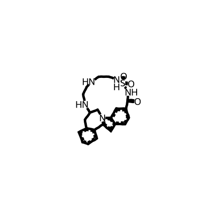 O=C1NS(=O)(=O)NCCNCCNC2Cc3ccccc3-c3cc4ccc1cc4n3C2